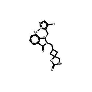 Cn1ncc(Cl)c1C[C@@H]1c2ccccc2C(=O)N1CC1CC2(CNC(=O)O2)C1